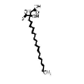 CCCCCCCCCCCCCCCCCCC(O)(CC(=O)O)C(O)=S